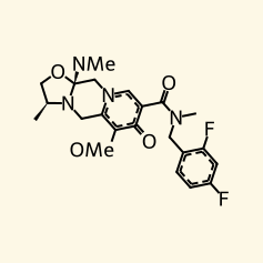 CN[C@@]12Cn3cc(C(=O)N(C)Cc4ccc(F)cc4F)c(=O)c(OC)c3CN1[C@@H](C)CO2